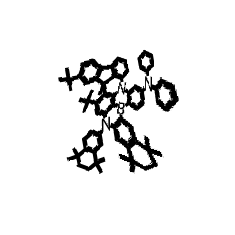 CC(C)(C)c1ccc2c(c1)C1(C)c3c-2cccc3N2c3cc(N(c4ccccc4)c4ccccc4)ccc3B3c4cc5c(cc4N(c4ccc6c(c4)C(C)(C)CCC6(C)C)c4cc(C(C)(C)C)c1c2c43)C(C)(C)CCC5(C)C